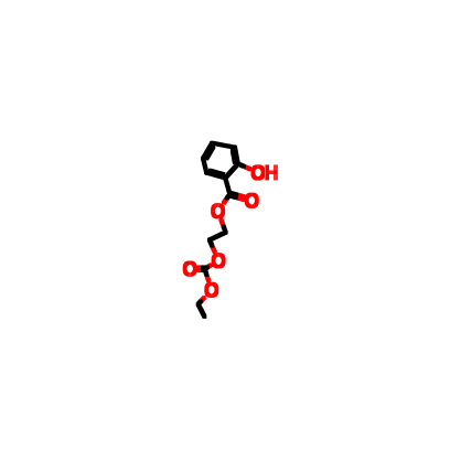 CCOC(=O)OCCOC(=O)c1ccccc1O